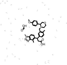 COc1ccc(C2COCCN2Cc2cc(C(CC(=O)O)c3ccc4c(nnn4C)c3C)ccc2C)cc1.O=CO